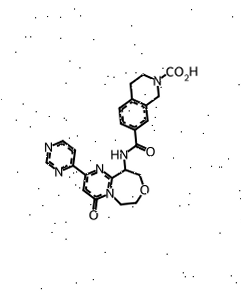 O=C(NC1COCCn2c1nc(-c1ccncn1)cc2=O)c1ccc2c(c1)CN(C(=O)O)CC2